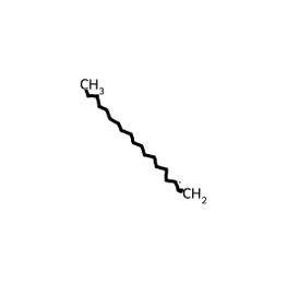 C=C[CH]CCCCCCCCCCCCCCCC